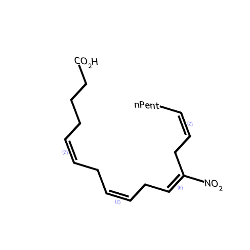 CCCCC/C=C\C/C(=C\C/C=C\C/C=C\CCCC(=O)O)[N+](=O)[O-]